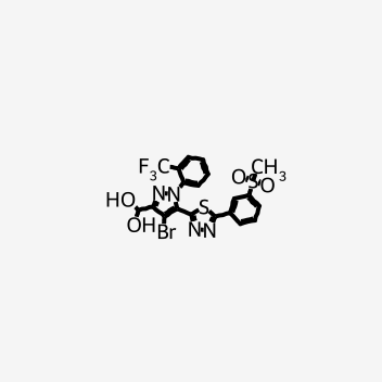 CS(=O)(=O)c1cccc(-c2nnc(-c3c(Br)c(C(O)O)nn3-c3ccccc3C(F)(F)F)s2)c1